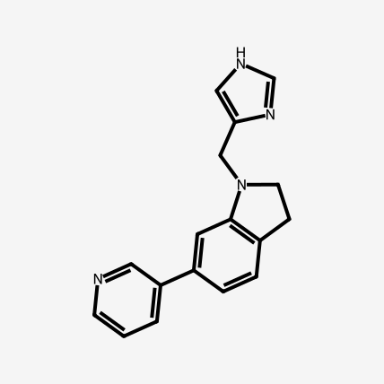 c1cncc(-c2ccc3c(c2)N(Cc2c[nH]cn2)CC3)c1